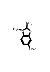 COc1ccc2c(c1)SC(N)N2C